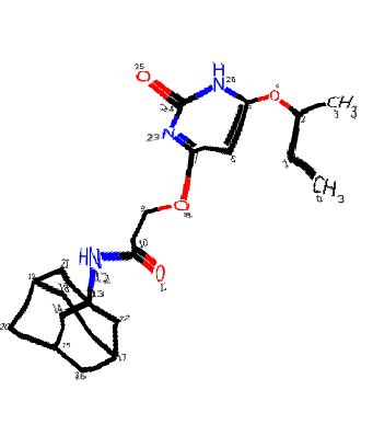 CCC(C)Oc1cc(OCC(=O)NC23CC4CC(CC(C4)C2)C3)nc(=O)[nH]1